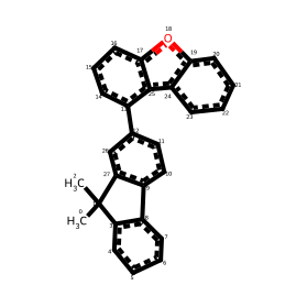 CC1(C)c2ccccc2-c2ccc(-c3cccc4oc5ccccc5c34)cc21